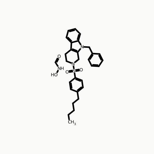 CCCCCc1ccc(S(=O)(=O)N2CCc3c(n(Cc4ccccc4)c4ccccc34)C2)cc1.O=CNO